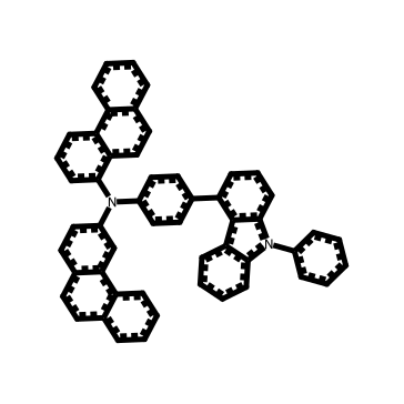 c1ccc(-n2c3ccccc3c3c(-c4ccc(N(c5ccc6ccc7ccccc7c6c5)c5cccc6c5ccc5ccccc56)cc4)cccc32)cc1